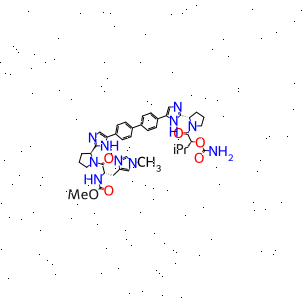 COC(=O)N[C@@H](Cc1cn(C)cn1)C(=O)N1CCC[C@H]1c1ncc(-c2ccc(-c3ccc(-c4cnc([C@@H]5CCCN5C(=O)[C@@H](OC(N)=O)C(C)C)[nH]4)cc3)cc2)[nH]1